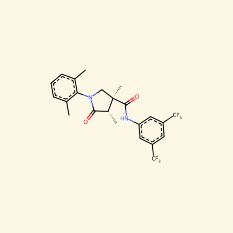 Cc1cccc(C)c1N1C[C@@](C)(C(=O)Nc2cc(C(F)(F)F)cc(C(F)(F)F)c2)[C@H](C)C1=O